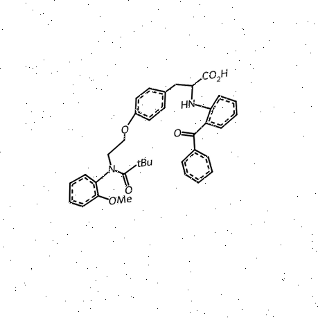 COc1ccccc1N(CCOc1ccc(CC(Nc2ccccc2C(=O)c2ccccc2)C(=O)O)cc1)C(=O)C(C)(C)C